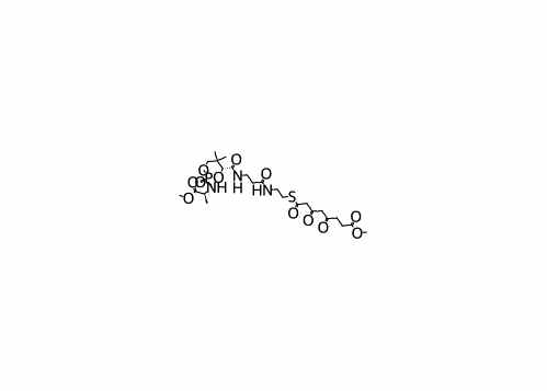 COC(=O)CCC(=O)CC(=O)CC(=O)SCCNC(=O)CCNC(=O)[C@@H]1OP(=O)(N[C@@H](C)C(=O)OC)OCC1(C)C